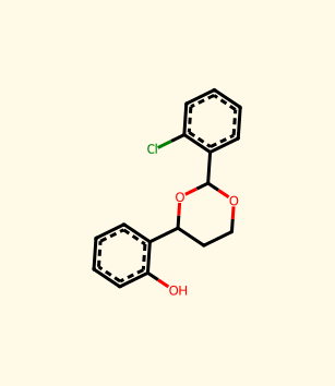 Oc1ccccc1C1CCOC(c2ccccc2Cl)O1